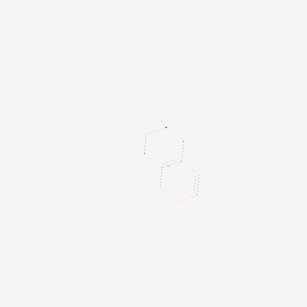 CC1(C)[CH]C2=C(CC1)COC=C2